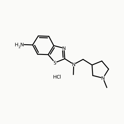 CN1CCC(CN(C)c2nc3ccc(N)cc3s2)C1.Cl